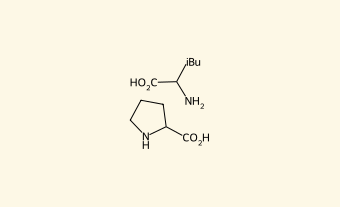 CCC(C)C(N)C(=O)O.O=C(O)C1CCCN1